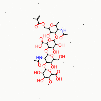 C=C(C)C(=O)OCC1OC(C)C(NC(C)=O)C(OC2OC(C(=O)O)C(OC3OC(CO)C(O)C(OC4OC(C(=O)O)C(OC)C(O)C4O)C3NC(C)=O)C(O)C2O)C1O